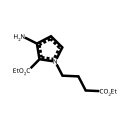 CCOC(=O)CCCn1ccc(N)c1C(=O)OCC